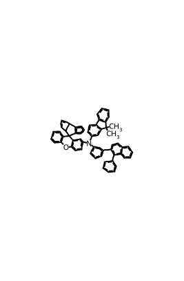 CC1(C)c2ccccc2-c2ccc(N(c3cccc(-c4ccc5ccccc5c4-c4ccccc4)c3)c3ccc4c(c3)C3(c5ccccc5O4)c4ccccc4C4C=CC=CC43)cc21